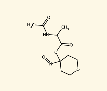 CC(=O)NC(C)C(=O)OC1(N=O)CCOCC1